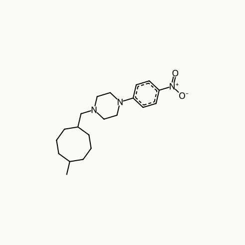 CC1CCCC(CN2CCN(c3ccc([N+](=O)[O-])cc3)CC2)CCC1